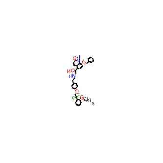 COc1ccccc1C(F)(F)COc1ccc(CCNC[C@H](O)c2ccc(OCc3ccccc3)c3[nH]c(=O)ccc23)cc1